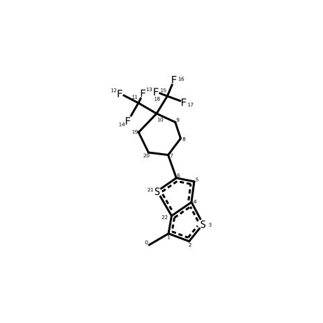 Cc1csc2cc(C3CCC(C(F)(F)F)(C(F)(F)F)CC3)sc12